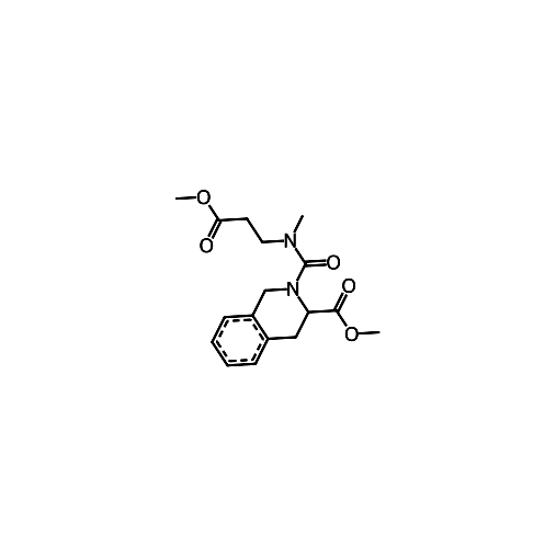 COC(=O)CCN(C)C(=O)N1Cc2ccccc2CC1C(=O)OC